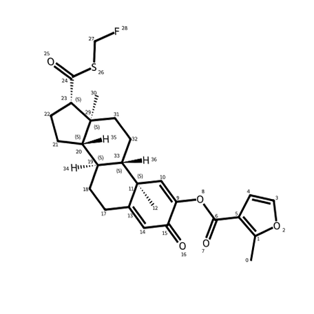 Cc1occc1C(=O)OC1=C[C@@]2(C)C(=CC1=O)CC[C@H]1[C@@H]3CC[C@H](C(=O)SCF)[C@@]3(C)CC[C@@H]12